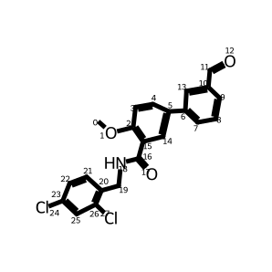 COc1ccc(-c2cccc(C=O)c2)cc1C(=O)NCc1ccc(Cl)cc1Cl